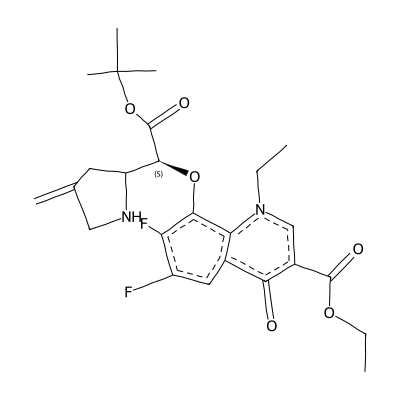 C=C1CNC([C@H](Oc2c(F)c(F)cc3c(=O)c(C(=O)OCC)cn(CC)c23)C(=O)OC(C)(C)C)C1